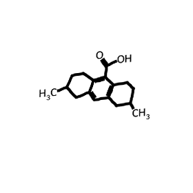 CC1CCc2c(cc3c(c2C(=O)O)CCC(C)C3)C1